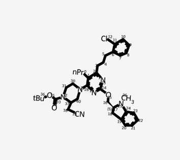 CCCc1c(CCCc2ccccc2Cl)nc(OC[C@@H]2Cc3ccccc3N2C)nc1N1CCN(C(=O)OC(C)(C)C)C(CC#N)C1